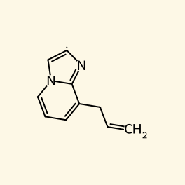 C=CCc1cccn2c[c]nc12